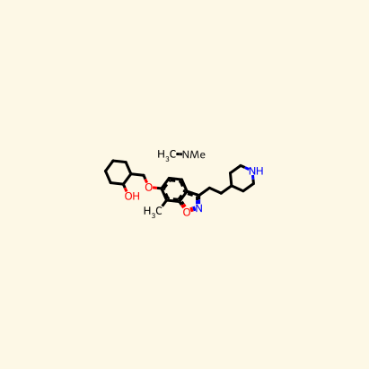 CNC.Cc1c(OCC2CCCCC2O)ccc2c(CCC3CCNCC3)noc12